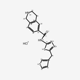 Cl.O=C(Nc1nnc(Cc2ccsc2)s1)c1ccc2c(c1)CCNC2